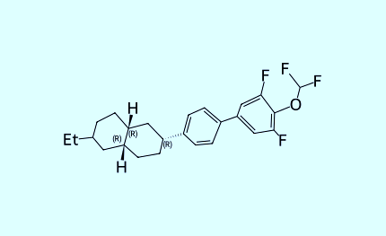 CCC1CC[C@@H]2C[C@H](c3ccc(-c4cc(F)c(OC(F)F)c(F)c4)cc3)CC[C@@H]2C1